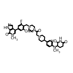 COc1cc(-c2cn(C)c(=O)c3[nH]ncc23)cc(F)c1CN1CCN(C(=O)CN2CCC(c3ccc(N(C)C4CCC(=O)NC4O)cc3)CC2)CC1